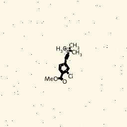 COC(=O)c1ccc(C#C[Si](C)(C)C)cc1Cl